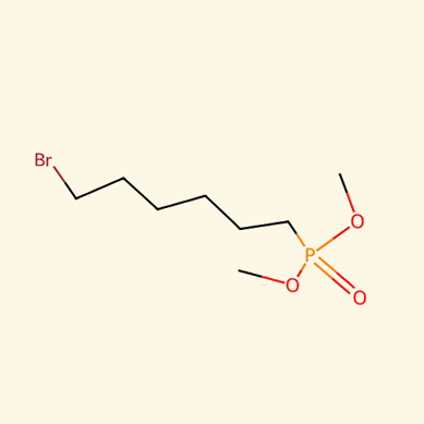 COP(=O)(CCCCCCBr)OC